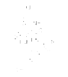 CN1CC(Cl)CNC1C(C(=O)Nc1cnccc1N1CCN(C2COC2)CC1)C(N)N=O